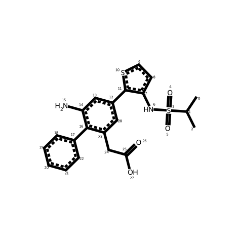 CC(C)S(=O)(=O)Nc1ccsc1-c1cc(N)c(-c2ccccc2)c(CC(=O)O)c1